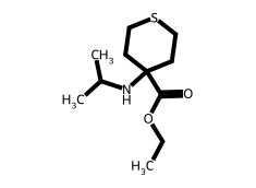 CCOC(=O)C1(NC(C)C)CCSCC1